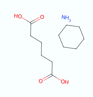 C1CCCCC1.N.O=C(O)CCCCC(=O)O